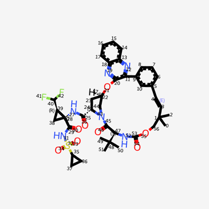 CC1(C)/C=C/c2cccc(c2)-c2nc3ccccc3nc2O[C@@H]2C[C@@H](C(=O)N[C@]3(C(=O)NS(=O)(=O)C4CC4)C[C@H]3C(F)F)N(C2)C(=O)[C@H](C(C)(C)C)NC(=O)OC1